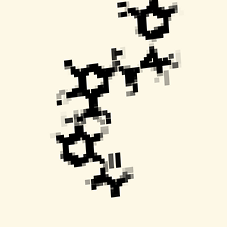 O=C(Nc1c(F)ccc(NC(=O)C(F)F)c1F)c1cc(NC(=O)[C@H]2[C@H](c3cc(Cl)c(Cl)c(Cl)c3)C2(Cl)Cl)cc(F)c1Cl